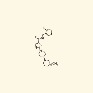 C[C@@H]1CCCN(C2CCN(c3ncc(C(=O)NCc4ccccc4F)s3)CC2)C1